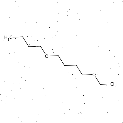 CCCCOCCC[CH]OCC